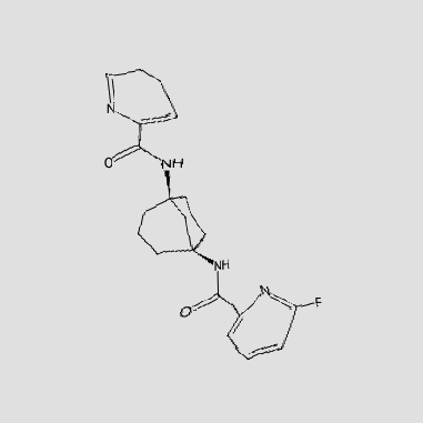 O=C(N[C@@]12CCC[C@@](NC(=O)c3cccc(F)n3)(CC1)C2)C1=CCCC=N1